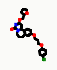 O=c1nc(OCC2CCCO2)cc2n1CCCc1cc(OCCCOc3ccc(Cl)cc3)ccc1-2